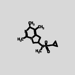 CC1=N[C@@H](C)C(C)=C2CC(N(C)S(=O)(=O)C3CC3)CN12